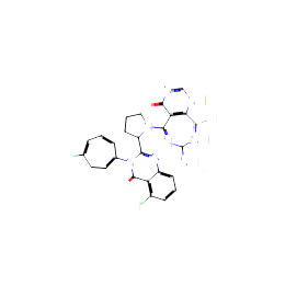 C[C@H]1NC(N)N=C(N2CCCC2c2nc3cccc(Cl)c3c(=O)n2C2=CCC(F)=CC=C2)c2c1[nH]cnc2=O